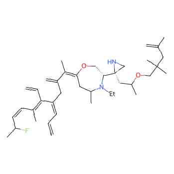 C=C\C=C(CC(=C)/C(C)=C1\CC(C)N(CC)[C@@H]([C@]2(CC(C)OCC(C)(C)CC(=C)C)CN2)CO1)/C(C=C)=C(C)/C=C\C(C)F